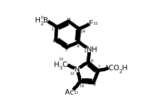 Bc1ccc(Nc2c(C(=O)O)cc(C(C)=O)n2C)c(F)c1